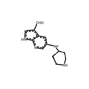 O=Cc1c[nH]c2ncc(NC3CCNCC3)cc12